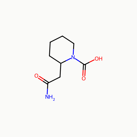 NC(=O)CC1CCCCN1C(=O)O